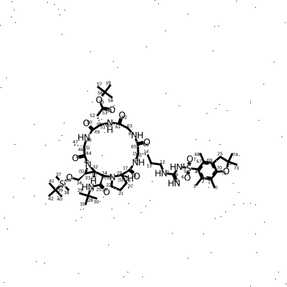 Cc1c(C)c(S(=O)(=O)NC(=N)NCCC[C@@H]2NC(=O)[C@@H]3CCCN3[C@@H](C(=O)NC(C)(C)C)[C@@H]3[C@@H](CO[Si](C)(C)C(C)(C)C)N3C(=O)[C@H](C)NC(=O)[C@H](CC(=O)OC(C)(C)C)NC(=O)CNC2=O)c(C)c2c1OC(C)(C)C2